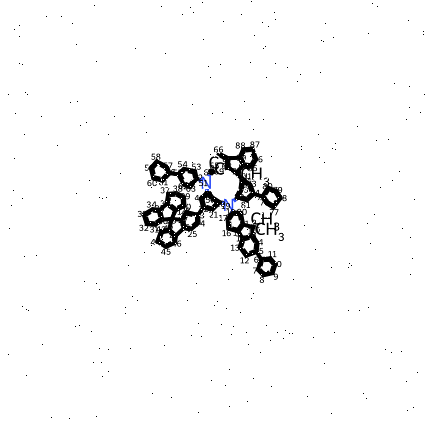 CC1(C)c2cc(-c3ccccc3)ccc2-c2ccc(N3c4cc(-c5ccc6c(c5)C5(c7ccccc7-c7ccccc75)c5ccccc5-6)cc(c4)N(c4ccc(-c5ccccc5)cc4)c4ccc5c(c4)C(C)(c4cc(-c6ccccc6)cc3c4)c3ccccc3-5)cc21